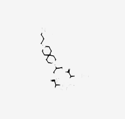 CCCCCCCCC(CCCCCC)C(=O)OCC(COC(=O)C(CCCCCC)CCCCCCCC)N1CCC2(CCN(CCCN)CC2)CC1